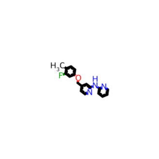 Cc1ccc(OCc2ccnc(Nc3ccccn3)c2)cc1F